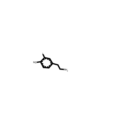 NCCc1ccc(O)c(I)c1